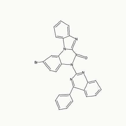 O=c1c2nc3ccccc3n2c2cc(Br)ccc2n1-c1nc(-c2ccccc2)c2ccccc2n1